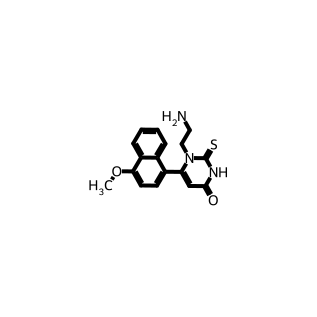 COc1ccc(-c2cc(=O)[nH]c(=S)n2CCN)c2ccccc12